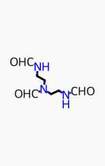 O=CNCCN(C=O)CCNC=O